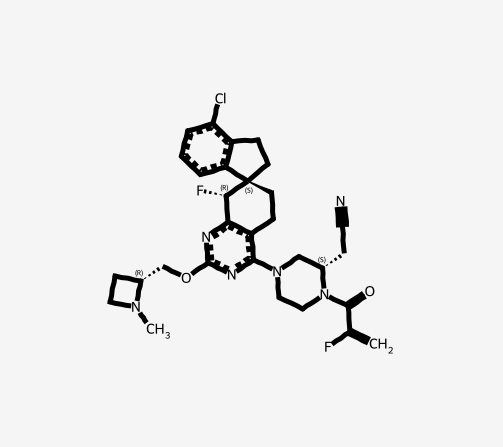 C=C(F)C(=O)N1CCN(c2nc(OC[C@H]3CCN3C)nc3c2CC[C@@]2(CCc4c(Cl)cccc42)[C@H]3F)C[C@@H]1CC#N